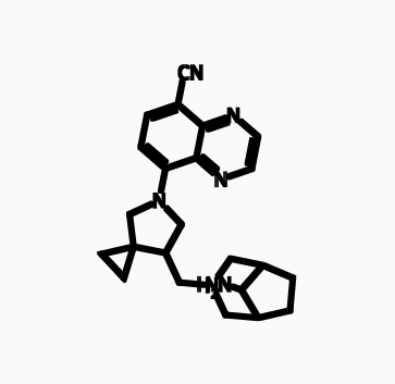 N#Cc1ccc(N2CC(CN3CC4CCC(C3)C4N)C3(CC3)C2)c2nccnc12